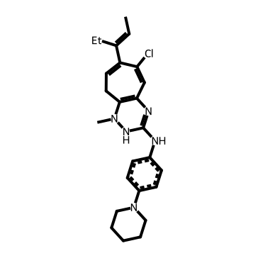 C/C=C(\CC)C1=CCC2=C(C=C1Cl)N=C(Nc1ccc(N3CCCCC3)cc1)NN2C